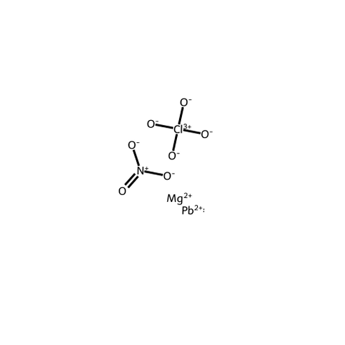 O=[N+]([O-])[O-].[Mg+2].[O-][Cl+3]([O-])([O-])[O-].[Pb+2]